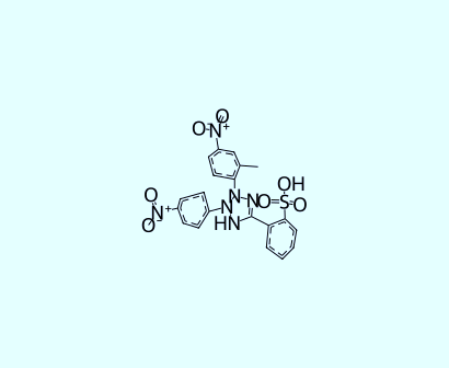 Cc1cc([N+](=O)[O-])ccc1N1N=C(c2ccccc2S(=O)(=O)O)NN1c1ccc([N+](=O)[O-])cc1